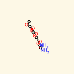 Nc1ccc(CCOC(=O)/C=C/c2ccc(OC(=O)c3ccc(OC(=O)c4ccc(C(=O)c5ccccc5)cc4)cc3)cc2)c(N)c1